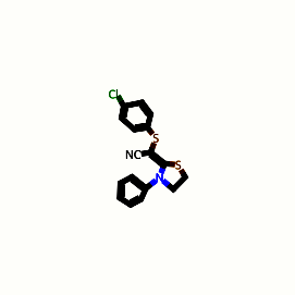 N#C/C(Sc1ccc(Cl)cc1)=C1/SCCN1c1ccccc1